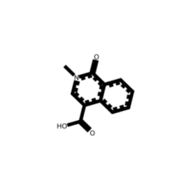 Cn1cc(C(=O)O)c2ccccc2c1=O